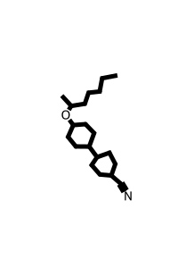 CCCCCC(C)OC1CCC(C2CCC(C#N)CC2)CC1